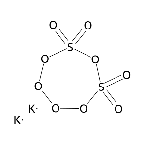 O=S1(=O)OOOOS(=O)(=O)O1.[K].[K]